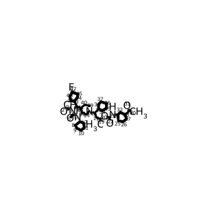 CC(=O)NC(=O)N(c1ccccc1)[C@H]1CN(C(CC(C)OC(=O)Nc2cccc(C(C)=O)c2)c2ccccc2)CCC1Cc1ccc(F)cc1